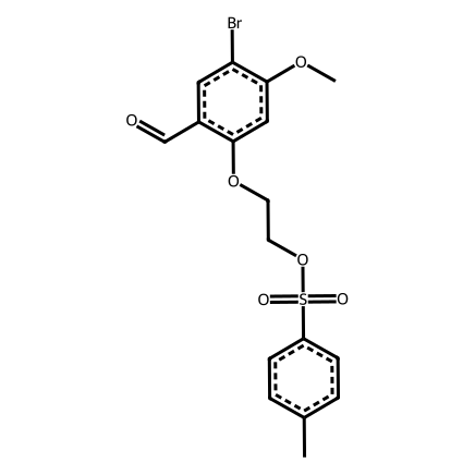 COc1cc(OCCOS(=O)(=O)c2ccc(C)cc2)c(C=O)cc1Br